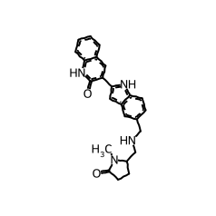 CN1C(=O)CCC1CNCc1ccc2[nH]c(-c3cc4ccccc4[nH]c3=O)cc2c1